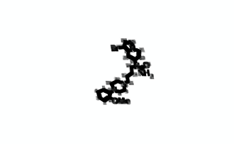 COc1ccccc1N1CCN(CCCCN(C(N)=O)c2ccn3ncc(Br)c3c2)CC1